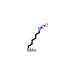 CNCCCCCCN=C=O